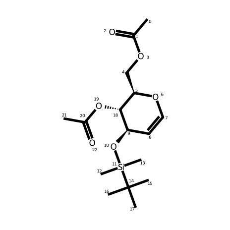 CC(=O)OC[C@H]1OC=C[C@@H](O[Si](C)(C)C(C)(C)C)[C@@H]1OC(C)=O